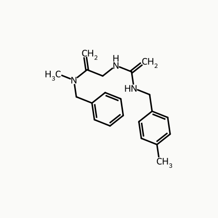 C=C(NCC(=C)N(C)Cc1ccccc1)NCc1ccc(C)cc1